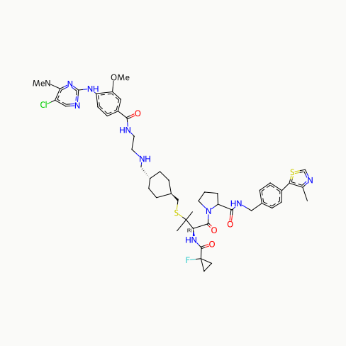 CNc1nc(Nc2ccc(C(=O)NCCNC[C@H]3CC[C@H](CSC(C)(C)[C@H](NC(=O)C4(F)CC4)C(=O)N4CCCC4C(=O)NCc4ccc(-c5scnc5C)cc4)CC3)cc2OC)ncc1Cl